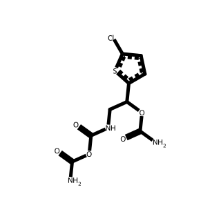 NC(=O)OC(=O)NCC(OC(N)=O)c1ccc(Cl)s1